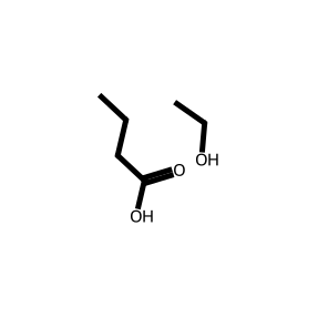 CCCC(=O)O.CCO